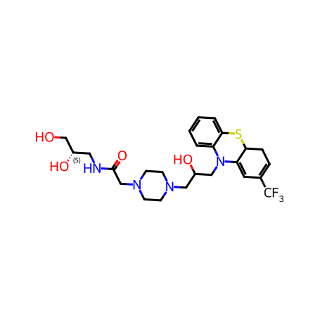 O=C(CN1CCN(CC(O)CN2C3=CC(C(F)(F)F)=CCC3Sc3ccccc32)CC1)NC[C@H](O)CO